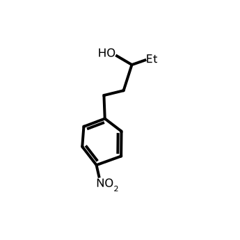 CCC(O)CCc1ccc([N+](=O)[O-])cc1